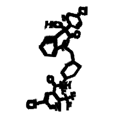 O=C(NC1CCC(CN2C(=O)C(O)(c3ccc(Cl)cn3)c3ccccc32)CC1)c1cc(Cl)cnc1C(F)(F)F